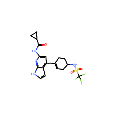 O=C(Nc1cc(C2=CCC(NS(=O)(=O)C(F)(F)F)CC2)c2cc[nH]c2n1)C1CC1